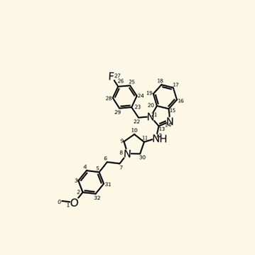 COc1ccc(CCN2CCC(Nc3nc4ccccc4n3Cc3ccc(F)cc3)C2)cc1